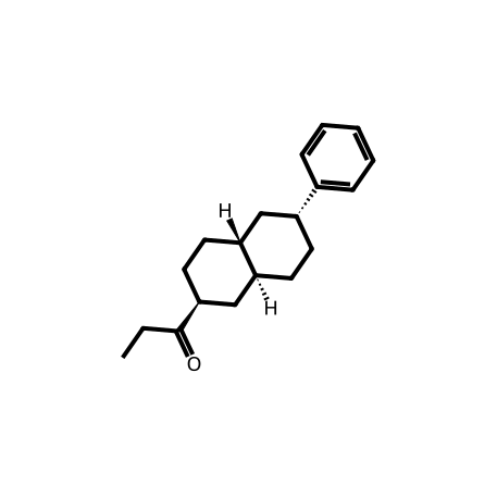 CCC(=O)[C@H]1CC[C@@H]2C[C@H](c3ccccc3)CC[C@H]2C1